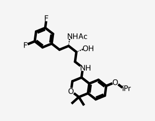 CC(=O)N[C@@H](Cc1cc(F)cc(F)c1)[C@H](O)CNC1COC(C)(C)c2ccc(OC(C)C)cc21